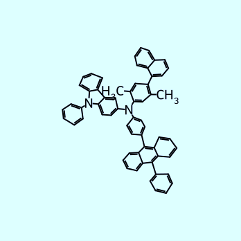 Cc1cc(N(c2ccc(-c3c4ccccc4c(-c4ccccc4)c4ccccc34)cc2)c2ccc3c(c2)c2ccccc2n3-c2ccccc2)c(C)cc1-c1cccc2ccccc12